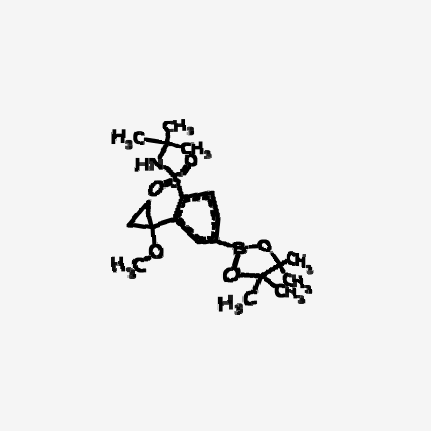 COC1(c2cc(B3OC(C)(C)C(C)(C)O3)ccc2S(=O)(=O)NC(C)(C)C)CC1